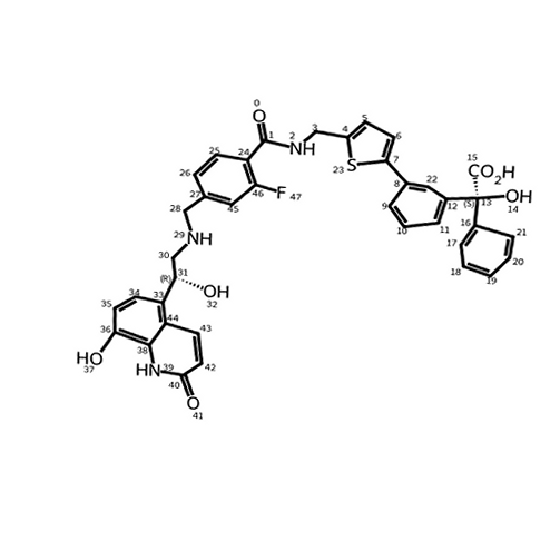 O=C(NCc1ccc(-c2cccc([C@](O)(C(=O)O)c3ccccc3)c2)s1)c1ccc(CNC[C@H](O)c2ccc(O)c3[nH]c(=O)ccc23)cc1F